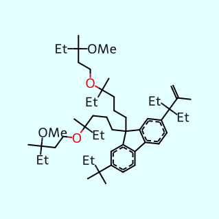 C=C(C)C(CC)(CC)c1ccc2c(c1)C(CCCC(C)(CC)OCCC(C)(CC)OC)(CCCC(C)(CC)OCCC(C)(CC)OC)c1cc(C(C)(C)CC)ccc1-2